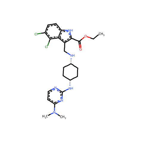 CCOC(=O)c1[nH]c2ccc(Cl)c(Cl)c2c1CN[C@H]1CC[C@@H](Nc2nccc(N(C)C)n2)CC1